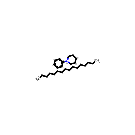 CCCCCCCCCCCCCCCC.c1ccc(N2CCCCC2)cc1